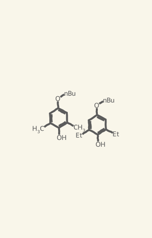 CCCCOc1cc(C)c(O)c(C)c1.CCCCOc1cc(CC)c(O)c(CC)c1